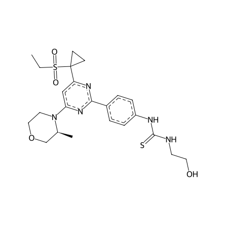 CCS(=O)(=O)C1(c2cc(N3CCOC[C@@H]3C)nc(-c3ccc(NC(=S)NCCO)cc3)n2)CC1